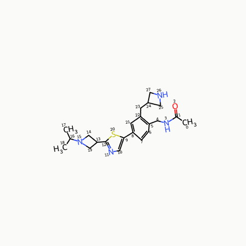 CC(=O)NCc1ccc(-c2cnc(C3CN(C(C)C)C3)s2)cc1CC1CNC1